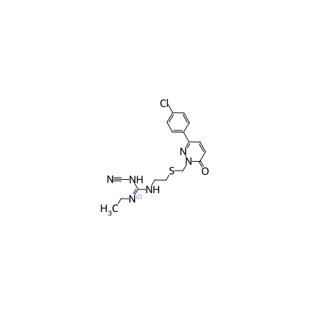 CC/N=C(\NC#N)NCCSCn1nc(-c2ccc(Cl)cc2)ccc1=O